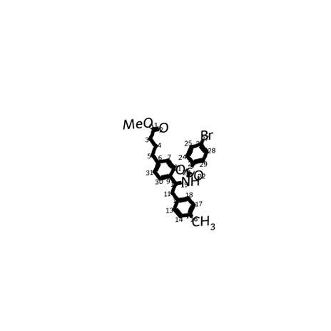 COC(=O)CCCc1ccc(C(Cc2ccc(C)cc2)NS(=O)(=O)c2ccc(Br)cc2)cc1